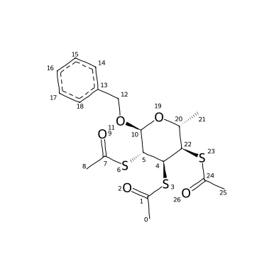 CC(=O)S[C@H]1[C@H](SC(C)=O)[C@@H](OCc2ccccc2)O[C@H](C)[C@H]1SC(C)=O